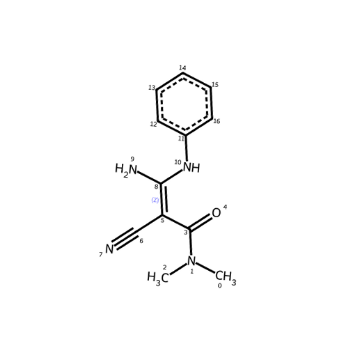 CN(C)C(=O)/C(C#N)=C(/N)Nc1ccccc1